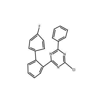 Fc1ccc(-c2ccccc2-c2nc(Cl)nc(-c3ccccc3)n2)cc1